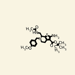 COc1ccc(CN2CCc3c(sc(N)c3C(=O)OC(C)(C)C)C2CNC(C)=O)cc1